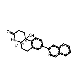 C[C@]12CCC(=O)N[C@@H]1CCc1cc(-c3cc4ccccc4cn3)ccc12